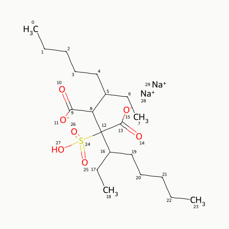 CCCCCC(CC)C(C(=O)[O-])C(C(=O)[O-])(C(CC)CCCCC)S(=O)(=O)O.[Na+].[Na+]